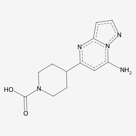 Nc1cc(C2CCN(C(=O)O)CC2)nc2ccnn12